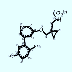 O=C(O)NCC1(COc2cncc(-c3cc(F)ccc3F)c2)CC1